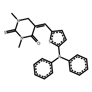 CN1C/C(=C/c2ccc(N(c3ccccc3)c3ccccc3)s2)C(=O)N(C)C1=S